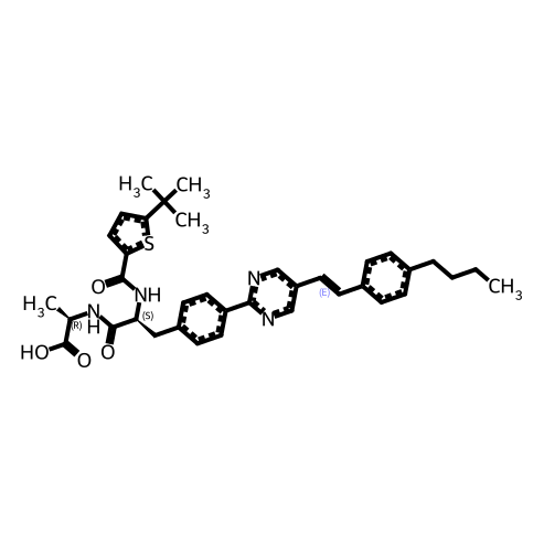 CCCCc1ccc(/C=C/c2cnc(-c3ccc(C[C@H](NC(=O)c4ccc(C(C)(C)C)s4)C(=O)N[C@H](C)C(=O)O)cc3)nc2)cc1